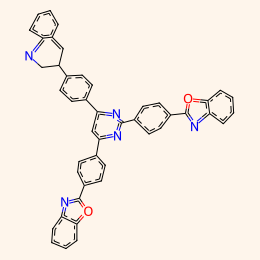 C1=c2ccccc2=NCC1c1ccc(-c2cc(-c3ccc(-c4nc5ccccc5o4)cc3)nc(-c3ccc(-c4nc5ccccc5o4)cc3)n2)cc1